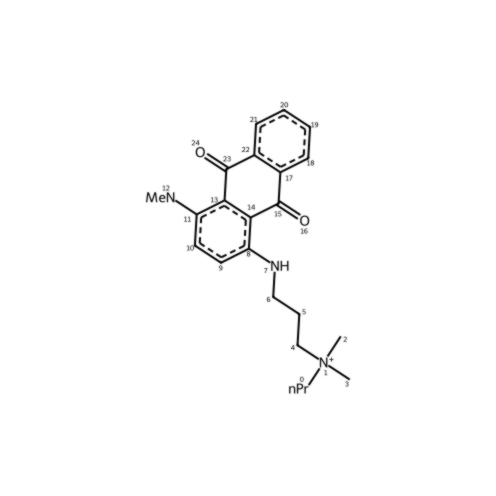 CCC[N+](C)(C)CCCNc1ccc(NC)c2c1C(=O)c1ccccc1C2=O